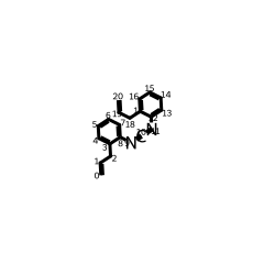 C=CCc1ccccc1N=C=Nc1ccccc1CC=C